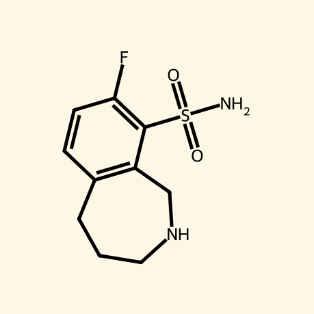 NS(=O)(=O)c1c(F)ccc2c1CNCCC2